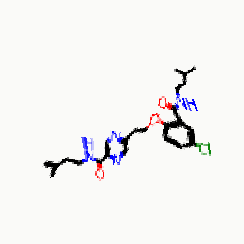 CC(C)CCNC(=O)c1cnc(CCOc2ccc(Cl)cc2C(=O)NCCC(C)C)cn1